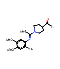 CCC(=O)C1CCN(C(=Nc2cc(OC)c(OC)cc2C#N)SC)CC1